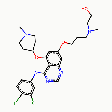 CN(CCO)CCCOc1cc(OC2CCN(C)CC2)c2c(Nc3ccc(F)c(Cl)c3)ncnc2c1